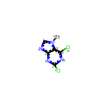 CCn1cnc2nc(Cl)nc(Cl)c21